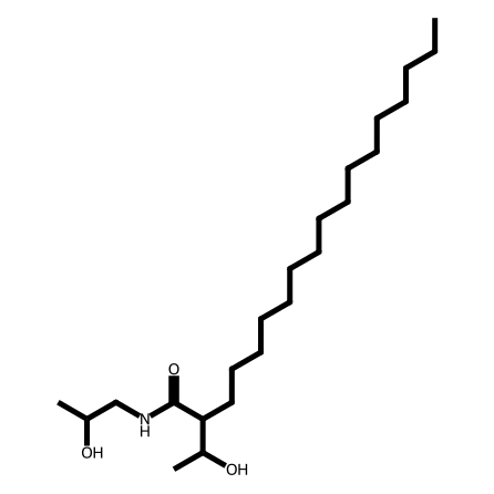 CCCCCCCCCCCCCCCCC(C(=O)NCC(C)O)C(C)O